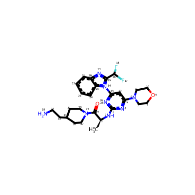 C[C@H](Nc1nc(N2CCOCC2)cc(-n2c(C(F)F)nc3ccccc32)n1)C(=O)N1CCC(CCN)CC1